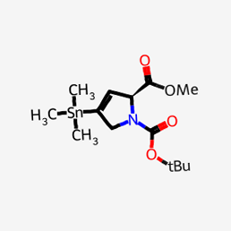 COC(=O)[C@@H]1C=[C]([Sn]([CH3])([CH3])[CH3])CN1C(=O)OC(C)(C)C